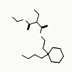 CCCCC1(CCOC(=O)C(CC)C(=O)OCC)CCCCC1